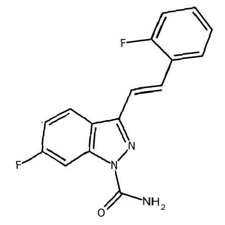 NC(=O)n1nc(/C=C/c2ccccc2F)c2c[c]c(F)cc21